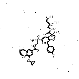 C[C@]1(C(=O)NC[C@H](O)CO)COc2c1cc(C(O)(CNC(=O)c1cc(OC3CC3)c3ncccc3c1)C(F)(F)F)nc2-c1ccc(F)cc1